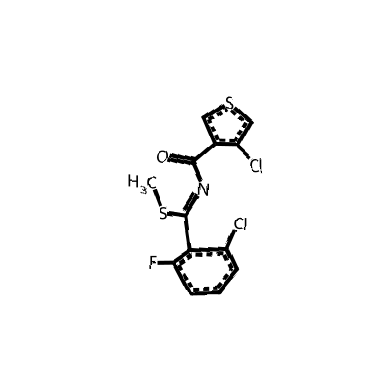 CSC(=NC(=O)c1cscc1Cl)c1c(F)cccc1Cl